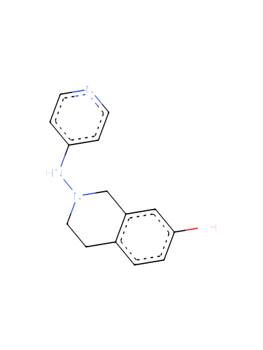 Oc1ccc2c(c1)CN(Nc1ccncc1)CC2